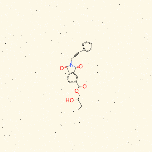 CCC(O)COC(=O)c1ccc2c(c1)C(=O)N(CC#Cc1ccccc1)C2=O